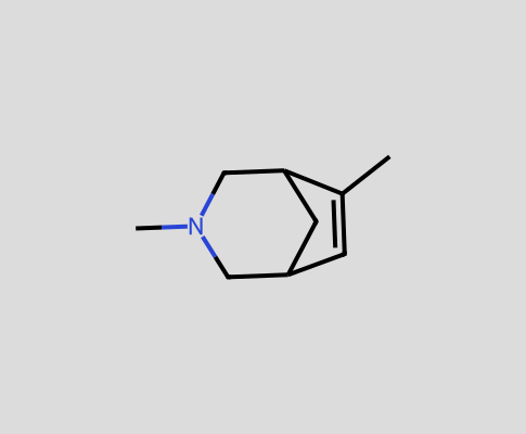 CC1=CC2CC1CN(C)C2